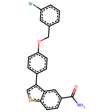 NC(=O)c1ccc2scc(-c3ccc(OCc4cccc(Br)c4)cc3)c2c1